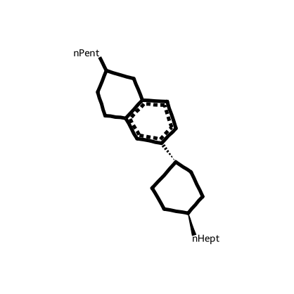 CCCCCCC[C@H]1CC[C@H](c2ccc3c(c2)CCC(CCCCC)C3)CC1